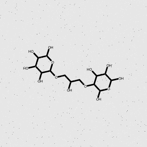 OC(COC1OC(O)C(O)C(O)C1O)COC1C(O)OC(O)C(O)C1O